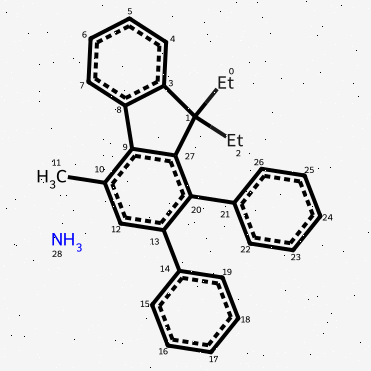 CCC1(CC)c2ccccc2-c2c(C)cc(-c3ccccc3)c(-c3ccccc3)c21.N